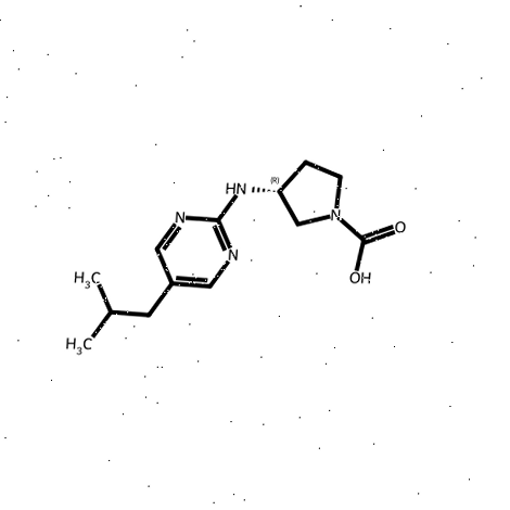 CC(C)Cc1cnc(N[C@@H]2CCN(C(=O)O)C2)nc1